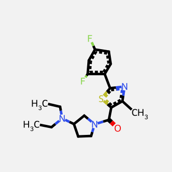 CCN(CC)C1CCN(C(=O)c2sc(-c3ccc(F)cc3F)nc2C)C1